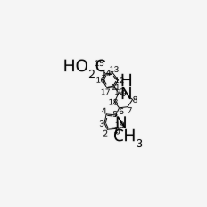 Cc1cccc(C2CCN[C@H](c3ccc(C(=O)O)cc3)C2)n1